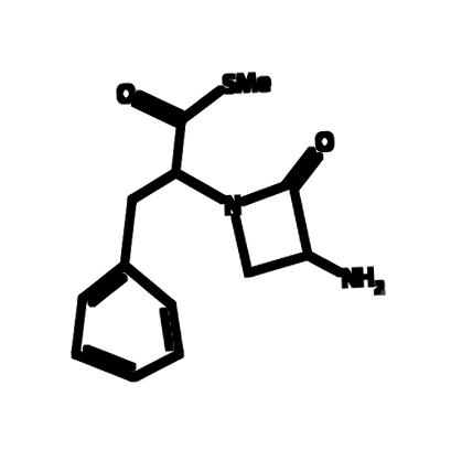 CSC(=O)C(Cc1ccccc1)N1CC(N)C1=O